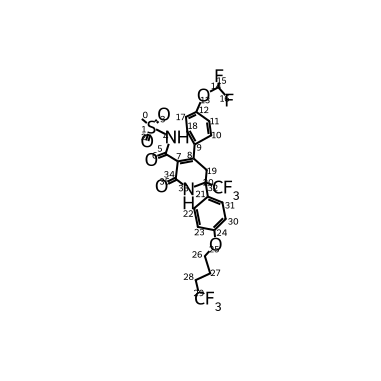 CS(=O)(=O)NC(=O)C1=C(c2ccc(OC(F)F)cc2)CC(c2ccc(OCCCC(F)(F)F)cc2)(C(F)(F)F)NC1=O